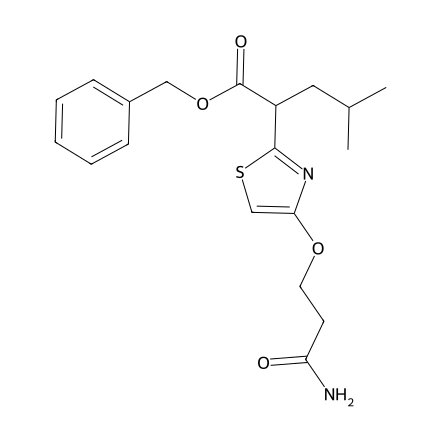 CC(C)CC(C(=O)OCc1ccccc1)c1nc(OCCC(N)=O)cs1